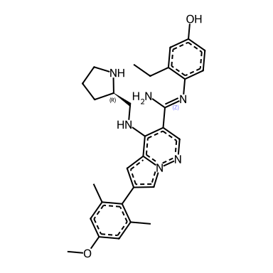 CCc1cc(O)ccc1/N=C(\N)c1cnn2cc(-c3c(C)cc(OC)cc3C)cc2c1NC[C@H]1CCCN1